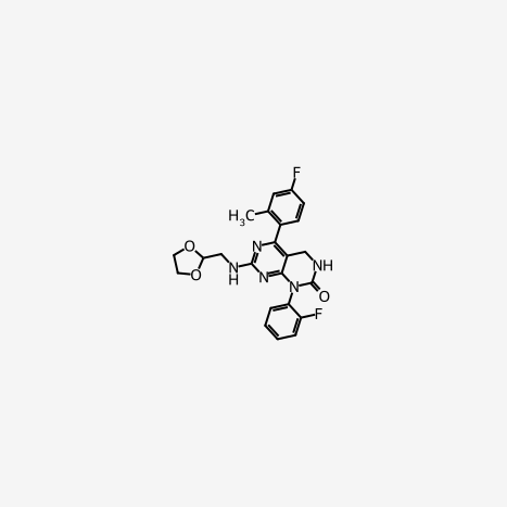 Cc1cc(F)ccc1-c1nc(NCC2OCCO2)nc2c1CNC(=O)N2c1ccccc1F